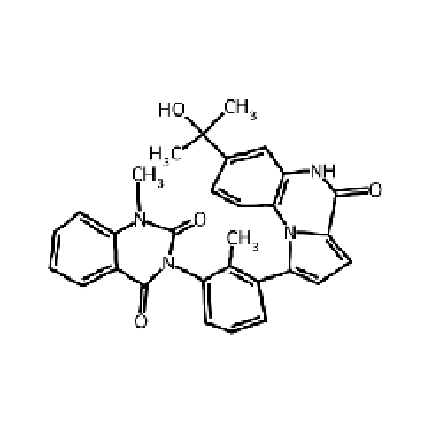 Cc1c(-c2ccc3c(=O)[nH]c4cc(C(C)(C)O)ccc4n23)cccc1-n1c(=O)c2ccccc2n(C)c1=O